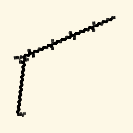 CC(=O)COCCOCCNC(=O)COCCOCCNC(=O)COCCOCCNC(=O)COCCOCCNC(=O)CC[C@H](NC(=O)CCCCCCCCCCCCCCCCCCCCC(=O)O)C(=O)O